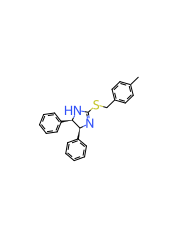 Cc1ccc(CSC2=N[C@@H](c3ccccc3)[C@@H](c3ccccc3)N2)cc1